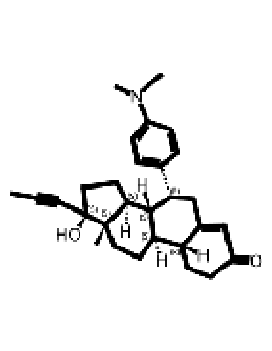 CC#C[C@]1(O)CC[C@H]2[C@H]3[C@H](CC[C@@]21C)[C@H]1CCC(=O)C=C1C[C@H]3c1ccc(N(C)C)cc1